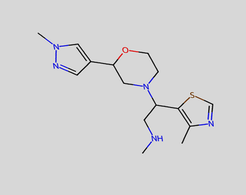 CNCC(c1scnc1C)N1CCOC(c2cnn(C)c2)C1